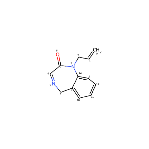 C=CCN1C(=O)C=NCc2ccccc21